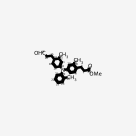 COC(=O)CCc1ccc(N(C2=CC(C)C(CCC=O)C=C2)c2ccccc2C)cc1C